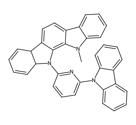 Cn1c2ccccc2c2ccc3c(c21)N(c1cccc(-n2c4ccccc4c4ccccc42)n1)C1C=CC=CC31